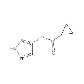 O=C(Cc1cn[nH]c1)C1CC1